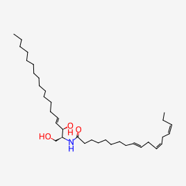 CC/C=C\C/C=C\C/C=C/CCCCCCCC(=O)N[C@@H](CO)[C@H](O)/C=C/CCCCCCCCCCCCC